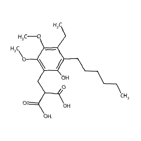 CCCCCCc1c(O)c(CC(C(=O)O)C(=O)O)c(OC)c(OC)c1CC